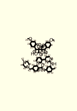 COc1ccc(C(=O)C(O)(C(=O)O)C(O)(C(=O)O)C(=O)c2ccc(OC)cc2)cc1.Cc1ccc(NC(=O)c2ccc(CN3CCN(C)CC3)cc2)cc1Nc1nccc(-c2cccnc2)n1